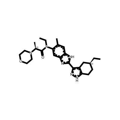 CC[C@H]1CCc2[nH]nc(-c3nc4cc(N(CC)C(=O)[C@H](C)N5CCOCC5)c(C)cc4[nH]3)c2C1